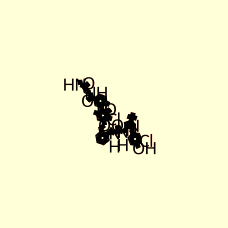 CNC(=O)CNC(=O)c1ccc(C)c(-n2c(C)cc(OCc3ccccc3CNC(=O)Nc3cc(C(C)(C)C)nn3-c3ccc(O)c(Cl)c3)c(Cl)c2=O)c1